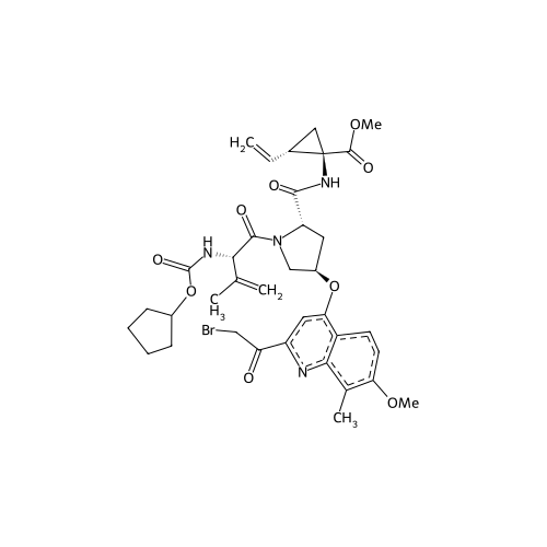 C=C[C@@H]1C[C@]1(NC(=O)[C@@H]1C[C@@H](Oc2cc(C(=O)CBr)nc3c(C)c(OC)ccc23)CN1C(=O)[C@@H](NC(=O)OC1CCCC1)C(=C)C)C(=O)OC